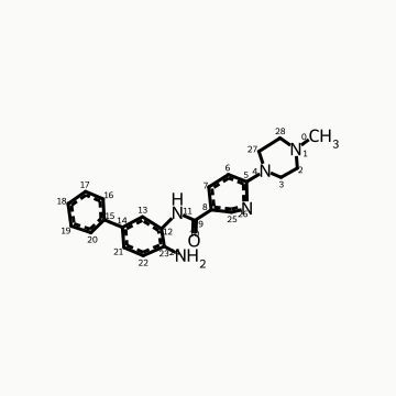 CN1CCN(c2ccc(C(=O)Nc3cc(-c4ccccc4)ccc3N)cn2)CC1